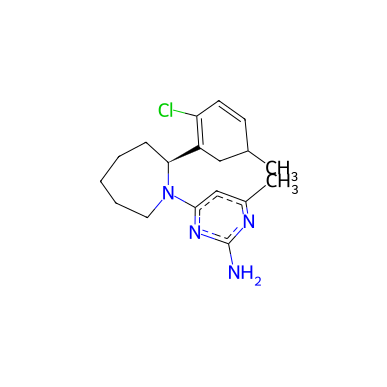 Cc1cc(N2CCCCC[C@H]2C2=C(Cl)C=CC(C)C2)nc(N)n1